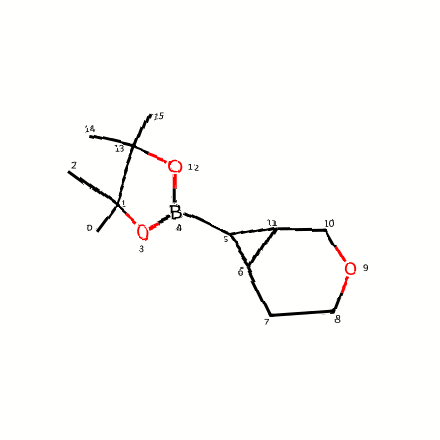 CC1(C)OB(C2C3CCOCC32)OC1(C)C